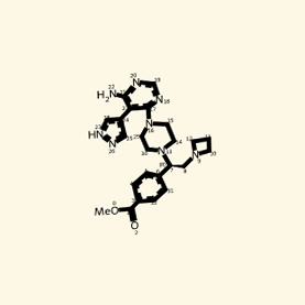 COC(=O)c1ccc([C@H](CN2CCC2)N2CCN(c3ncnc(N)c3-c3cn[nH]c3)CC2)cc1